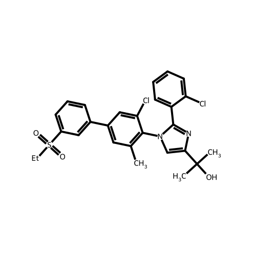 CCS(=O)(=O)c1cccc(-c2cc(C)c(-n3cc(C(C)(C)O)nc3-c3ccccc3Cl)c(Cl)c2)c1